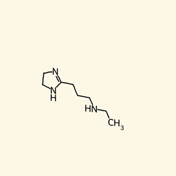 CCNCCCC1=NCCN1